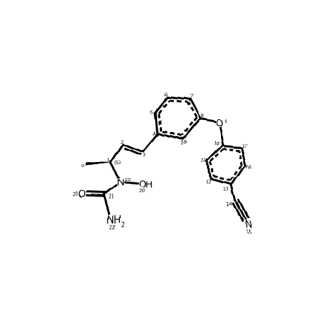 C[C@@H](C=Cc1cccc(Oc2ccc(C#N)cc2)c1)N(O)C(N)=O